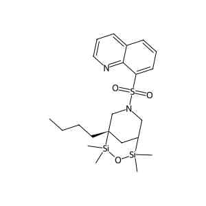 CCCC[C@]12CC(CN(S(=O)(=O)c3cccc4cccnc34)C1)[Si](C)(C)O[Si]2(C)C